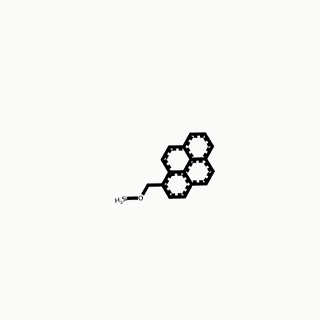 [SiH3]OCc1ccc2ccc3cccc4ccc1c2c34